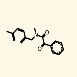 C=C(C)/C=C\C(=C)CN(C)C(=O)C(=O)c1ccccc1